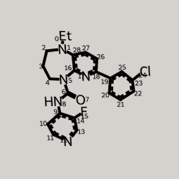 CCN1CCCN(C(=O)Nc2ccncc2F)c2nc(-c3cccc(Cl)c3)ccc21